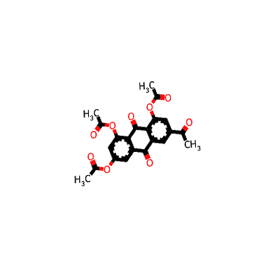 CC(=O)Oc1cc(OC(C)=O)c2c(c1)C(=O)c1cc(C(C)=O)cc(OC(C)=O)c1C2=O